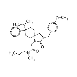 CCCN(C)C(=O)CN1C(=O)N(Cc2ccc(OC)cc2)CC12CCC(c1ccccc1)(N(C)C)CC2